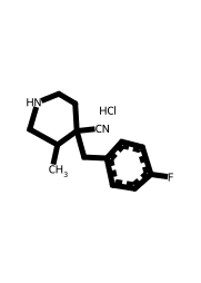 CC1CNCCC1(C#N)Cc1ccc(F)cc1.Cl